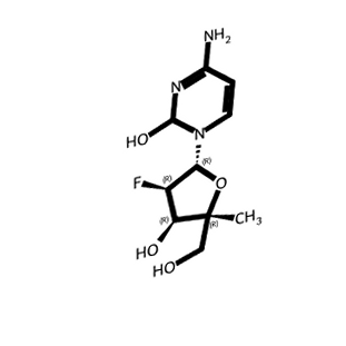 C[C@]1(CO)O[C@@H](N2C=CC(N)=NC2O)[C@H](F)[C@@H]1O